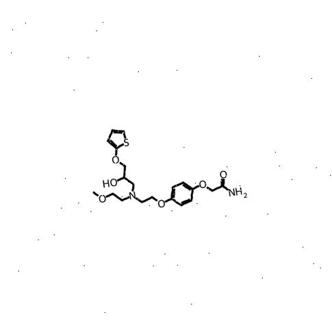 COCCN(CCOc1ccc(OCC(N)=O)cc1)CC(O)COc1cccs1